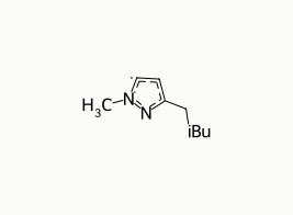 CCC(C)Cc1c[c]n(C)n1